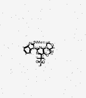 CNc1nc2ccccc2n1-c1nc2c(c(C(C)(C)S(C)(=O)=O)n1)OC[C@H]1COC[C@@H](C)N21